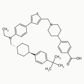 CCN(C[C@H]1CC[C@H](c2ccc(C(C)(C)C)cc2)CC1)c1ccc(-c2csc(CN3CCC(c4ccc(C(=O)O)cc4)CC3)c2)cc1